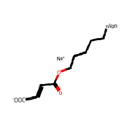 CCCCCCCCCCCCCCOC(=O)C=CC(=O)[O-].[Na+]